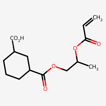 C=CC(=O)OC(C)COC(=O)C1CCCC(C(=O)O)C1